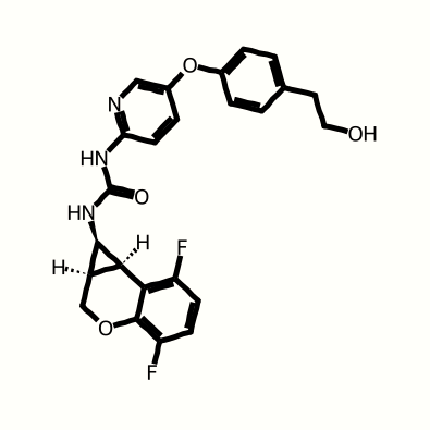 O=C(Nc1ccc(Oc2ccc(CCO)cc2)cn1)N[C@@H]1[C@@H]2COc3c(F)ccc(F)c3[C@@H]21